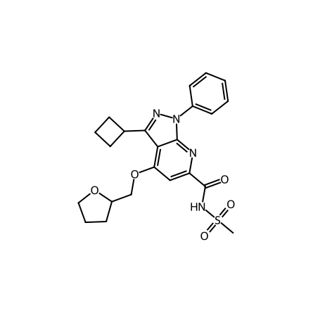 CS(=O)(=O)NC(=O)c1cc(OCC2CCCO2)c2c(C3CCC3)nn(-c3ccccc3)c2n1